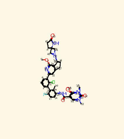 COc1nc(-c2cccc(-c3c(F)ccc(NC(=O)c4cn(C)c(=O)n(C)c4=O)c3C)c2Cl)cc2c1C(N1CC3(CCC(=O)N3)C1)CC2